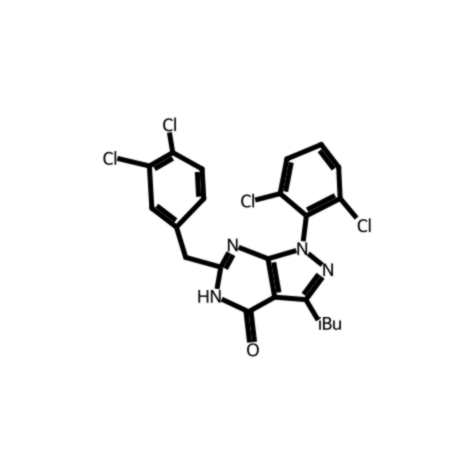 CCC(C)c1nn(-c2c(Cl)cccc2Cl)c2nc(Cc3ccc(Cl)c(Cl)c3)[nH]c(=O)c12